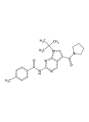 Cc1ccc(C(=O)Nc2ncc3c(C(=O)N4CCCC4)cn(C(C)(C)C)c3n2)cc1